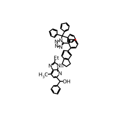 CCc1nc2c(C)cc(C(O)c3ccccc3)nc2n1[C@H]1CCc2cc(-c3ccccc3-c3nnnn3C(c3ccccc3)(c3ccccc3)c3ccccc3)ccc21